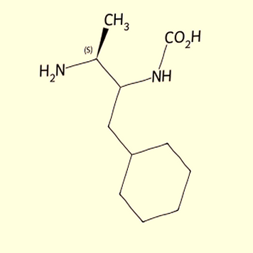 C[C@H](N)C(CC1CCCCC1)NC(=O)O